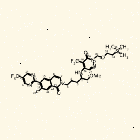 COCC(CCCn1ccc2cc(-c3ncc(C(F)(F)F)cn3)c(F)cc2c1=O)Nc1cnn(COCC[Si](C)(C)C)c(=O)c1C(F)(F)F